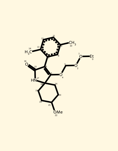 CCOOCOC1=C(c2cc(C)ccc2C)C(=O)NC12CCC(OC)CC2